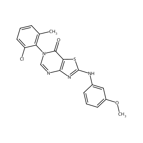 COc1cccc(Nc2nc3ncn(-c4c(C)cccc4Cl)c(=O)c3s2)c1